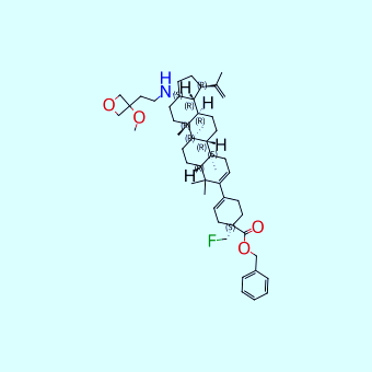 C=C(C)[C@@H]1CC[C@]2(NCCC3(OC)COC3)CC[C@]3(C)[C@H](CC[C@@H]4[C@@]5(C)CC=C(C6=CC[C@](CF)(C(=O)OCc7ccccc7)CC6)C(C)(C)[C@@H]5CC[C@]43C)[C@@H]12